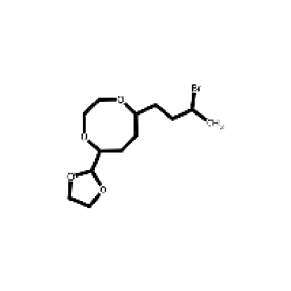 CC(Br)CCC1CCC(C2OCCO2)OCCO1